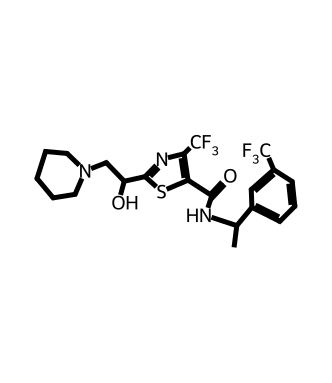 CC(NC(=O)c1sc(C(O)CN2CCCCC2)nc1C(F)(F)F)c1cccc(C(F)(F)F)c1